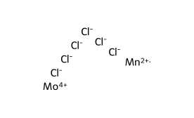 [Cl-].[Cl-].[Cl-].[Cl-].[Cl-].[Cl-].[Mn+2].[Mo+4]